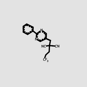 N#CC(C#N)(CCC(F)(F)F)Cc1cnc(-c2ccccc2)nc1